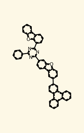 c1ccc(-c2nc(-c3ccc4c(c3)oc3ccc(-c5ccc6c7ccccc7c7ccccc7c6c5)cc34)nc(-c3cccc4c3oc3ccccc34)n2)cc1